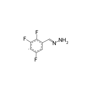 NN=Cc1cc(F)[c]c(F)c1F